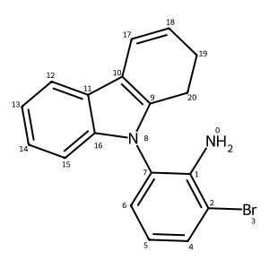 Nc1c(Br)cccc1-n1c2c(c3ccccc31)C=CCC2